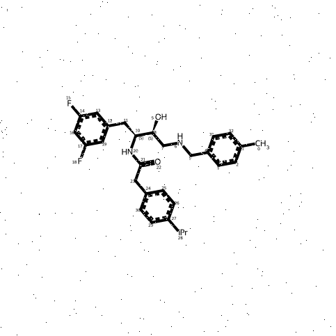 Cc1ccc(CNC[C@H](O)[C@H](Cc2cc(F)cc(F)c2)NC(=O)Cc2ccc(C(C)C)cc2)cc1